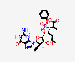 C#C[C@]1(C)[C@H](O)[C@@H](CO[P@@](=O)(Oc2ccccc2)N(CCCC)C(C)C(=O)O)O[C@H]1n1cnc2c(=O)[nH]c(N)nc21